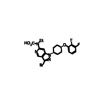 CCN(C(=O)O)c1cc2c(cn1)c(Br)nn2[C@H]1CC[C@@H](Oc2cccc(F)c2F)CC1